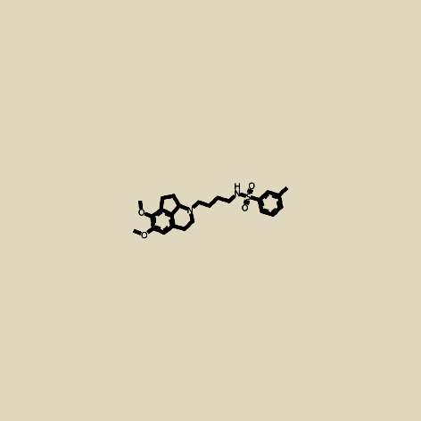 COc1cc2c3c(c1OC)CCC3N(CCCCNS(=O)(=O)c1cccc(C)c1)CC2